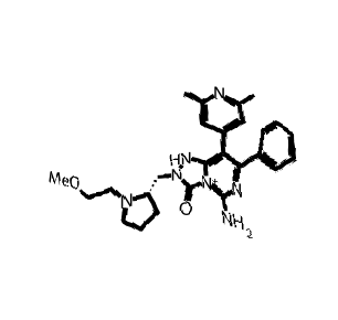 COCCN1CCC[C@H]1Cn1[nH]c2c(-c3cc(C)nc(C)c3)c(-c3ccccc3)nc(N)[n+]2c1=O